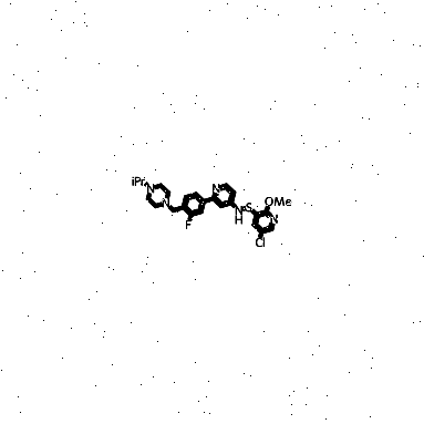 COc1ncc(Cl)cc1SNc1ccnc(-c2ccc(CN3CCN(C(C)C)CC3)c(F)c2)c1